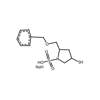 O=S(=O)(O)N1CC(S)CC1COCc1ccccc1.[NaH]